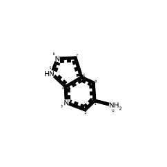 Nc1cnc2[nH]ncc2c1